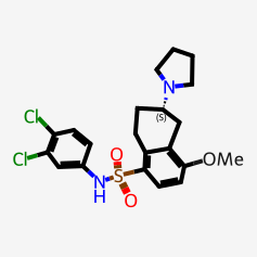 COc1ccc(S(=O)(=O)Nc2ccc(Cl)c(Cl)c2)c2c1C[C@@H](N1CCCC1)CC2